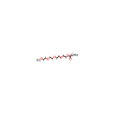 CCOCCOCCOCCOCCOC(=O)OC